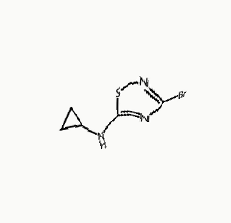 Brc1nsc(NC2CC2)n1